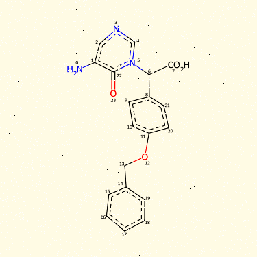 Nc1cncn(C(C(=O)O)c2ccc(OCc3ccccc3)cc2)c1=O